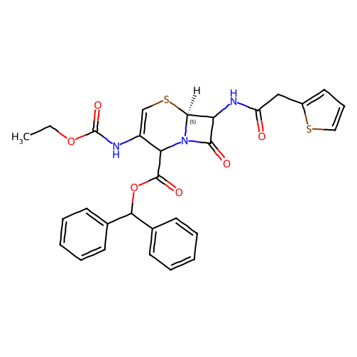 CCOC(=O)NC1=CS[C@H]2C(NC(=O)Cc3cccs3)C(=O)N2C1C(=O)OC(c1ccccc1)c1ccccc1